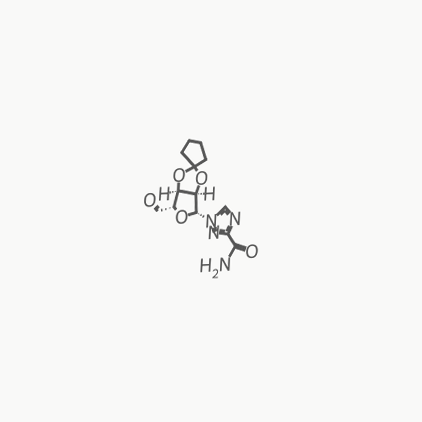 NC(=O)c1ncn([C@@H]2O[C@H](C=O)[C@H]3OC4(CCCC4)O[C@H]32)n1